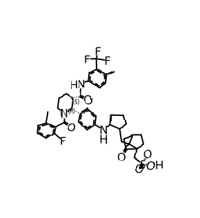 Cc1ccc(NC(=O)[C@H]2CCCN(C(=O)c3c(C)cccc3F)[C@H]2c2ccc(NC3CCCC3CC3(C)C4CCC3(CS(=O)(=O)O)C(=O)C4)cc2)cc1C(F)(F)F